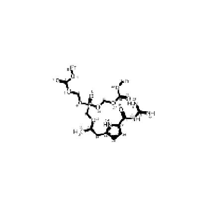 CC(C)OC(=O)OCOP(=O)(COC(C)Cc1ccc(C(=O)NC(=N)N)[nH]1)OCOC(=O)OC(C)C